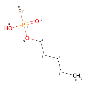 CCCCCOP(=O)(O)Br